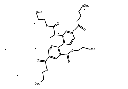 CCCCCCCCCCCCOC(=O)c1ccc(-c2ccc(C(=O)OCCCCCCCCCCCC)cc2C(C)C(=O)OCCCCCCCCCCCC)c(C(=O)OCCCCCCCCCCCC)c1